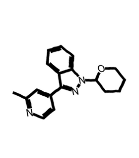 Cc1cc(-c2nn(C3CCCCO3)c3ccccc23)ccn1